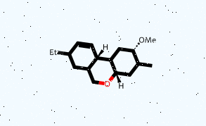 CCC1C=C[C@H]2C(CO[C@H]3CC(C)[C@@H](OC)CC23)C1